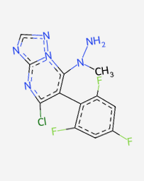 CN(N)c1c(-c2c(F)cc(F)cc2F)c(Cl)nc2ncnn12